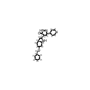 O=c1[nH]nc(-c2ccncc2)cc1-c1cc2ccc(OCc3ccccc3)cc2[nH]1